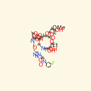 CC[C@H]1OC(=O)[C@H](C)[C@@H](O[C@H]2C[C@@](C)(OC)[C@@H](O)[C@H](C)O2)[C@H](C)[C@@H](O[C@@H]2O[C@H](C)C[C@H](N(C)CCOCc3cn(C[C@H]4CN(c5cccc(F)c5)C(=O)O4)nn3)[C@H]2O)[C@](C)(O)C[C@@H](C)CN(C)[C@H](C)[C@@H](O)[C@]1(C)O